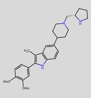 COc1ccc(-c2[nH]c3ccc(C4CCN(C[C@@H]5CCCN5)CC4)cc3c2C)cc1OC